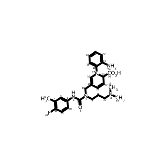 Cc1cc(NC(=O)N(CCCN(C)C)CC2=CN(c3ccccc3N)C(C(=O)O)C=C2)ccc1F